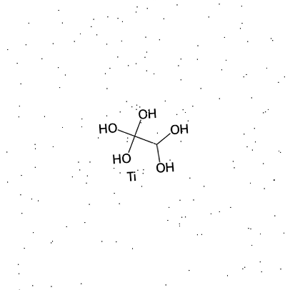 OC(O)C(O)(O)O.[Ti]